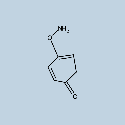 NOC1=CCC(=O)C=C1